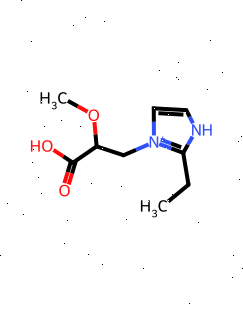 CCc1[nH]cc[n+]1CC(OC)C(=O)O